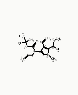 C=CCN(C(=O)OC(C)(C)C)c1cn(C)c(C(O)OC)c1C=C